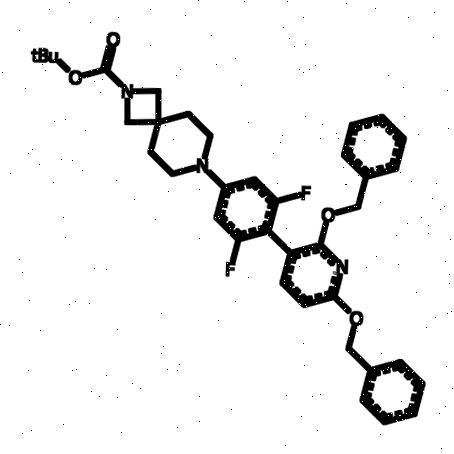 CC(C)(C)OC(=O)N1CC2(CCN(c3cc(F)c(-c4ccc(OCc5ccccc5)nc4OCc4ccccc4)c(F)c3)CC2)C1